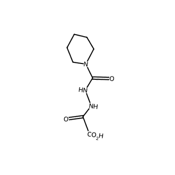 O=C(O)C(=O)NNC(=O)N1CCCCC1